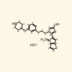 CCCc1cn(CCCc2cccc(OC3CCNCC3)c2)c(-c2cc3sccc3n2C)n1.Cl